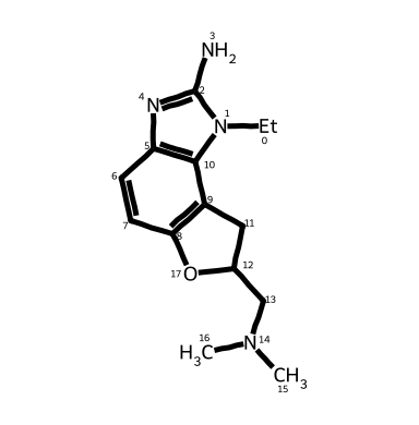 CCn1c(N)nc2ccc3c(c21)CC(CN(C)C)O3